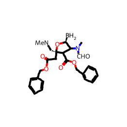 B[C@@H]1O[C@](CNC)(CC(=O)OCc2ccccc2)C(C(=O)OCc2ccccc2)C1N(C)C=O